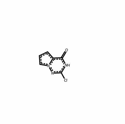 O=c1[nH]c(Cl)nn2cccc12